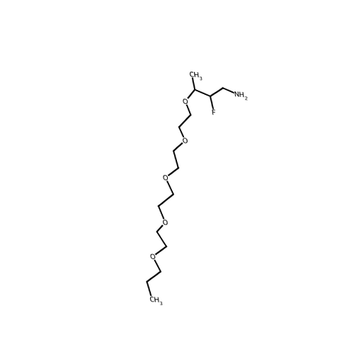 CCCOCCOCCOCCOCCOC(C)C(F)CN